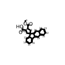 COC(=O)CCC1(CCC(=O)O)c2ccccc2-c2cc3ccccc3cc21